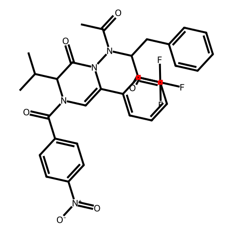 CC(=O)N(C(Cc1ccccc1)C(=O)C(F)(F)F)N1C(=O)C(C(C)C)N(C(=O)c2ccc([N+](=O)[O-])cc2)C=C1c1ccccc1